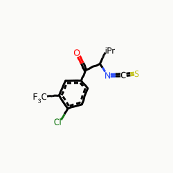 CC(C)C(N=C=S)C(=O)c1ccc(Cl)c(C(F)(F)F)c1